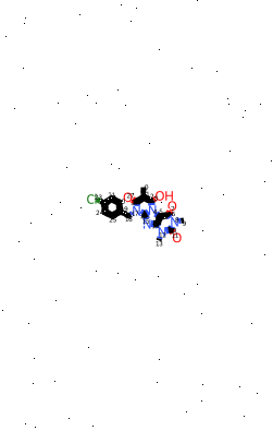 Cc1c(O)n2c3c(=O)n(C)c(=O)n(C)c3nc2n(Cc2ccc(Cl)cc2)c1=O